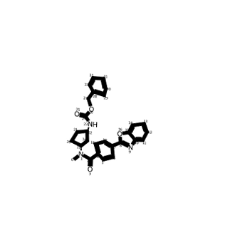 CN(C(=O)c1ccc(-c2nc3ccccc3o2)cc1)[C@@H]1CC[C@H](NC(=O)OCc2ccccc2)C1